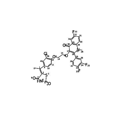 CC(=C1SC(=O)NC1=O)c1ccc(OCCOc2c(-c3ccc(F)c(F)c3)n(C)c3ccc(F)cc3c2=O)c(Cl)c1